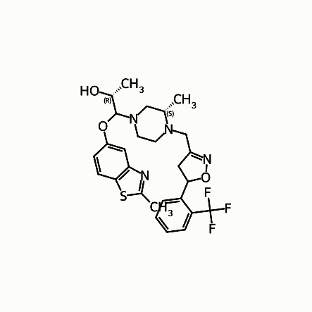 Cc1nc2cc(OC([C@@H](C)O)N3CCN(CC4=NOC(c5ccccc5C(F)(F)F)C4)[C@@H](C)C3)ccc2s1